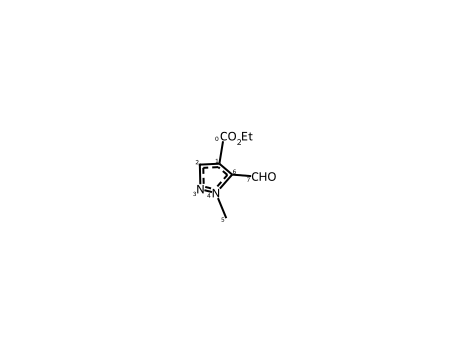 CCOC(=O)c1cnn(C)c1C=O